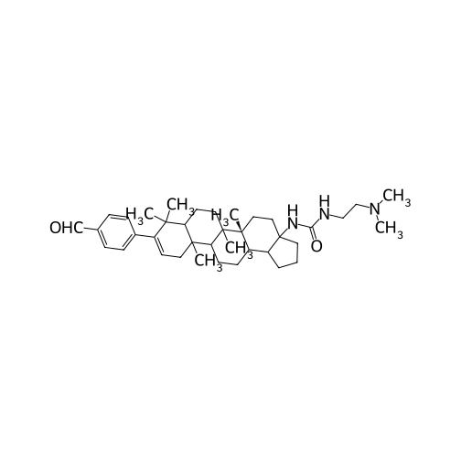 CN(C)CCNC(=O)NC12CCCC1C1CCC3C4(C)CC=C(c5ccc(C=O)cc5)C(C)(C)C4CCC3(C)[C@]1(C)CC2